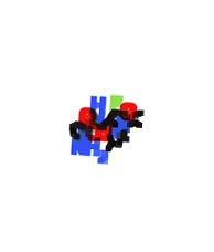 CC1CN(c2nc(OC(C)C(C)C)c(F)cc2C(=O)NS(=O)(=O)c2cccc(N)n2)C(C)(C)C1